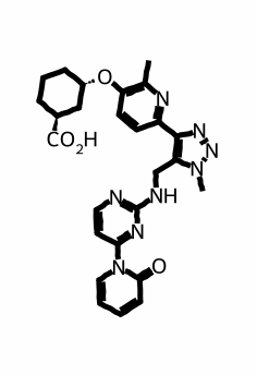 Cc1nc(-c2nnn(C)c2CNc2nccc(-n3ccccc3=O)n2)ccc1O[C@H]1CCC[C@H](C(=O)O)C1